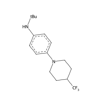 CC(C)(C)Nc1ccc(N2CCC(C(F)(F)F)CC2)cc1